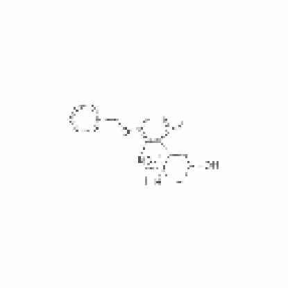 OC1CC[C@H]2[C@H]3Cc4c(OCc5ccccc5)ccc(F)c4[C@@]2(CCN3)C1